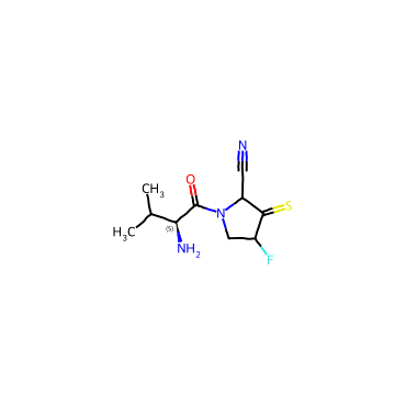 CC(C)[C@H](N)C(=O)N1CC(F)C(=S)C1C#N